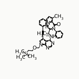 Cc1ccn2nc([C@H](C)Nc3ncnc4c3c(C#Cc3ccccc3)cn4COCC[Si](C)(C)C)n(-c3ccccc3)c(=O)c12